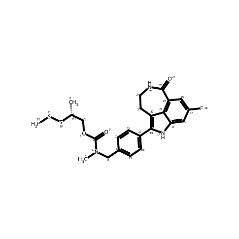 C[C@H](COC(=O)N(C)Cc1ccc(-c2[nH]c3cc(F)cc4c3c2CCNC4=O)cc1)SSP